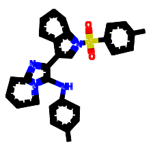 Cc1ccc(Nc2c(-c3cn(S(=O)(=O)c4ccc(C)cc4)c4ccccc34)nc3ccccn23)cc1